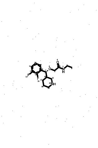 CCNC(=O)CO[C@@H](c1cccc(F)c1F)C1CCCNC1